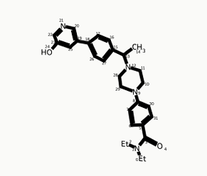 CCN(CC)C(=O)c1ccc(N2CCN(C(C)c3ccc(-c4cncc(O)c4)cc3)CC2)cc1